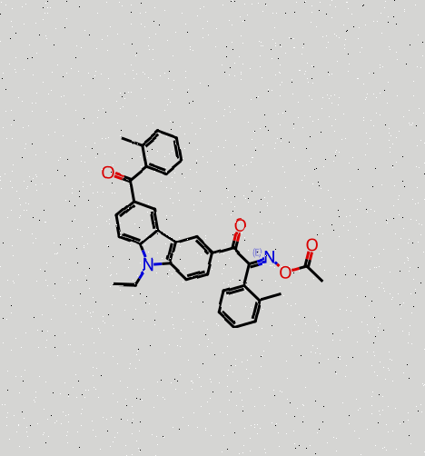 CCn1c2ccc(C(=O)/C(=N/OC(C)=O)c3ccccc3C)cc2c2cc(C(=O)c3ccccc3C)ccc21